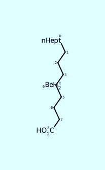 CCCCCCCCCCCCCCC(=O)O.[BeH2]